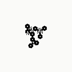 c1ccc(-c2nc(-c3ccccc3)nc(-c3cccc(N4c5ccc(-c6ccc7c(c6)c6ccccc6n7-c6ccccc6)cc5-c5nccc6c5c4nc4ccccc46)c3)n2)cc1